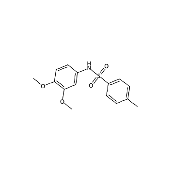 COc1ccc(NS(=O)(=O)c2ccc(C)cc2)cc1OC